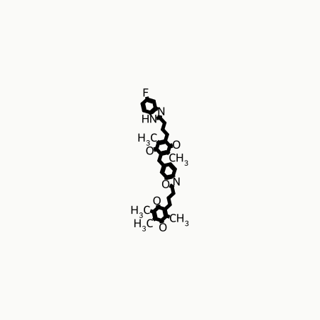 CC1=C(C)C(=O)C(CCCc2nc3ccc(CC4=C(C)C(=O)C(CCCc5nc6cc(F)ccc6[nH]5)=C(C)C4=O)cc3o2)=C(C)C1=O